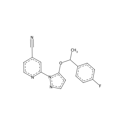 CC(Oc1ccnn1-c1cc(C#N)ccn1)c1ccc(F)cc1